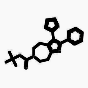 CC(C)(C)OC(=O)N1CCc2nn(-c3ccccc3)c(-c3cccs3)c2CC1